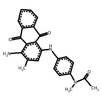 CC(=O)N(C)c1ccc(Nc2cc(C)c(N)c3c2C(=O)c2ccccc2C3=O)cc1